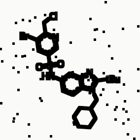 CC(C)(C)c1nc2cc(NS(=O)(=O)c3cnc(CCl)c(Br)c3)ccc2n1CC1CCCCC1